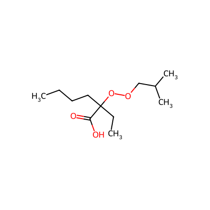 CCCCC(CC)(OOCC(C)C)C(=O)O